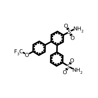 NS(=O)(=O)c1cccc(-c2cc(S(N)(=O)=O)ccc2-c2ccc(OC(F)(F)F)cc2)c1